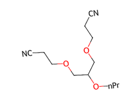 CCCOC(COCCC#N)COCCC#N